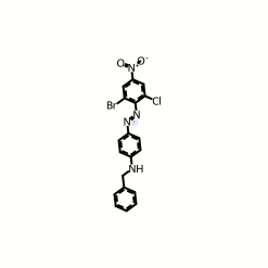 O=[N+]([O-])c1cc(Cl)c(/N=N/c2ccc(NCc3ccccc3)cc2)c(Br)c1